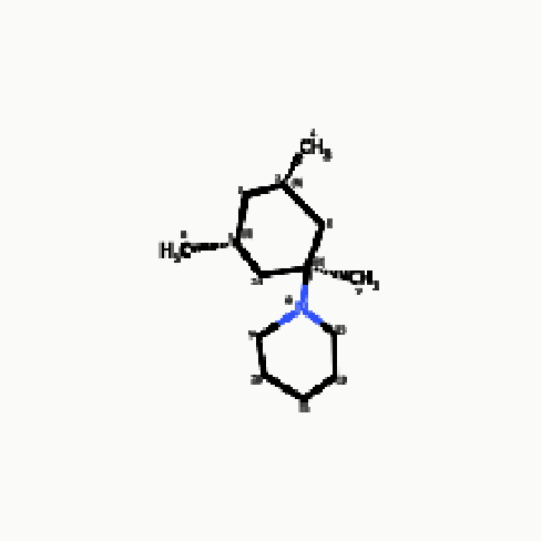 C[C@@H]1C[C@H](C)C[C@@](C)(N2CCCCC2)C1